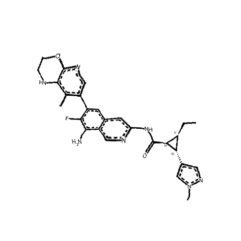 CC[C@@H]1[C@H](C(=O)Nc2cc3cc(-c4cnc5c(c4C)NCCO5)c(F)c(N)c3cn2)[C@H]1c1cnn(C)c1